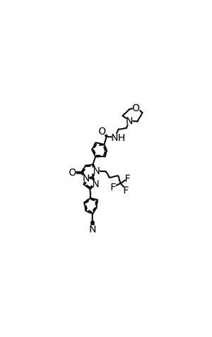 N#Cc1ccc(-c2cn3c(=O)cc(-c4ccc(C(=O)NCCN5CCOCC5)cc4)n(CCCC(F)(F)F)c3n2)cc1